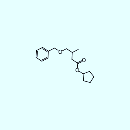 CC(COCc1ccccc1)CC(=O)OC1CCCC1